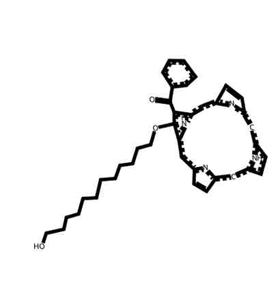 O=C(c1ccccc1)c1c(OCCCCCCCCCCCCO)c2cc3nc(cc4ccc(cc5nc(cc1[nH]2)C=C5)[nH]4)C=C3